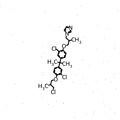 CC(CCl)COc1ccc(C(C)(C)c2ccc(OCC(C)Cn3ccnc3)c(Cl)c2)cc1Cl